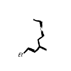 CC=C=CCC(C)C=CCC